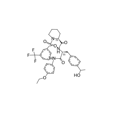 CCOc1ccc(NC(=O)[C@H](Cc2ccc(C(C)O)cc2)NC(=O)[C@@H]2CCCCN2S(=O)(=O)c2cccc(C(F)(F)F)c2)cc1